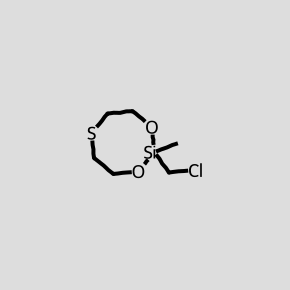 C[Si]1(CCl)OCCSCCO1